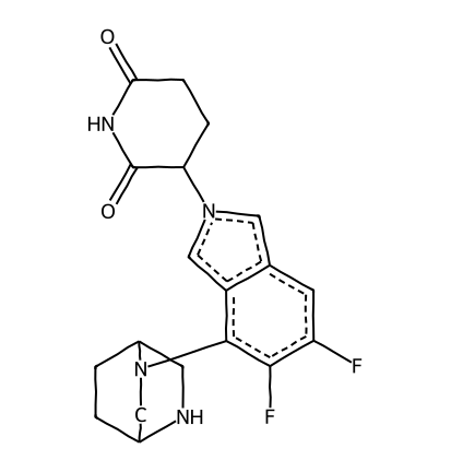 O=C1CCC(n2cc3cc(F)c(F)c(N4CC5CCC4CN5)c3c2)C(=O)N1